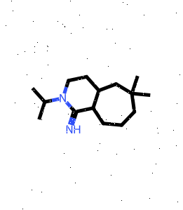 CC(C)N1CCC2CC(C)(C)CCCC2C1=N